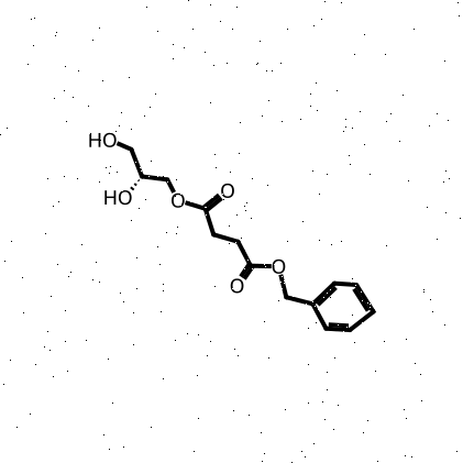 O=C(CCC(=O)OC[C@H](O)CO)OCc1ccccc1